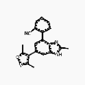 Cc1nc2c(-c3ccccc3C#N)cc(-c3c(C)noc3C)cc2[nH]1